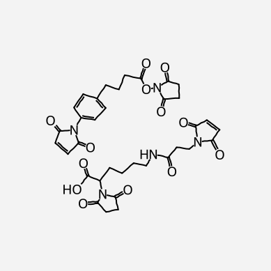 O=C(CCCc1ccc(N2C(=O)C=CC2=O)cc1)ON1C(=O)CCC1=O.O=C(CCN1C(=O)C=CC1=O)NCCCCC(C(=O)O)N1C(=O)CCC1=O